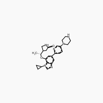 C[C@@H](Oc1cc(-c2ccc(N3CCNCC3)cn2)cc2ncn(C3CC3)c12)C1CNC(=O)C1